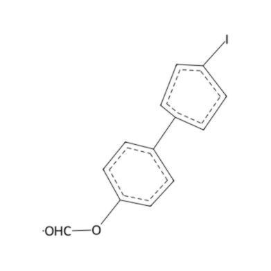 O=[C]Oc1ccc(-c2ccc(I)cc2)cc1